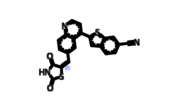 N#Cc1ccc2cc(-c3ccnc4ccc(/C=C5/SC(=O)NC5=O)cc34)sc2c1